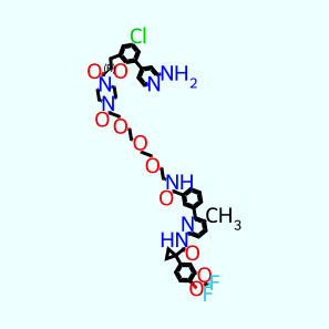 Cc1ccc(NC(=O)C2(c3ccc4c(c3)OC(F)(F)O4)CC2)nc1-c1cccc(C(=O)NCCOCCOCCOCC(=O)N2CCN(C(=O)[C@H]3Cc4cc(Cl)cc(-c5ccnc(N)c5)c4O3)CC2)c1